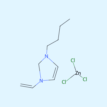 C=CN1C=CN(CCCC)C1.[Cl][Zn]([Cl])[Cl]